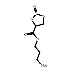 COCCCOC(=O)C1COS(=O)O1